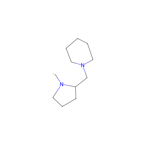 [CH2]N1CCCC1CN1CCCCC1